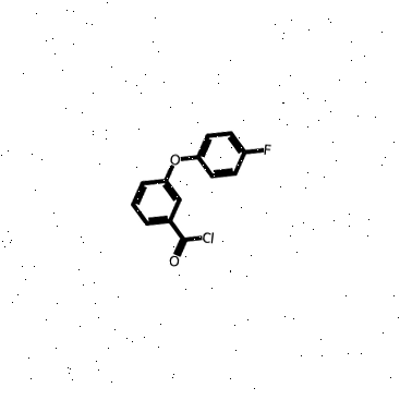 O=C(Cl)c1cccc(Oc2ccc(F)cc2)c1